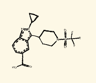 O=C(O)c1ccc2nn(C3CC3)c(C3CCN(S(=O)(=O)C(F)(F)F)CC3)c2c1